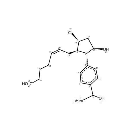 CCCCCCC(O)c1ccc([C@@H]2[C@@H](C/C=C\CCCC(=O)O)[C@@H](Cl)C[C@H]2O)cc1